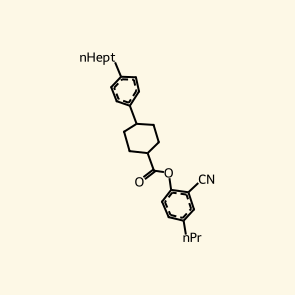 CCCCCCCc1ccc(C2CCC(C(=O)Oc3ccc(CCC)cc3C#N)CC2)cc1